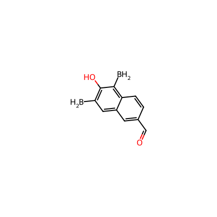 Bc1cc2cc(C=O)ccc2c(B)c1O